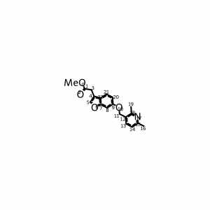 COC(=O)Cc1coc2cc(OCc3ccc(C)nc3C)ccc12